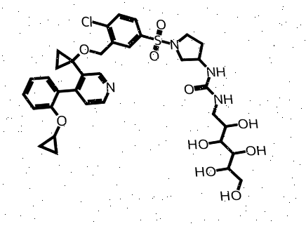 O=C(NCC(O)C(O)C(O)C(O)CO)NC1CCN(S(=O)(=O)c2ccc(Cl)c(COC3(c4cnccc4-c4ccccc4OC4CC4)CC3)c2)C1